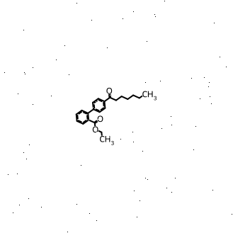 CCCCCCC(=O)c1ccc(-c2ccccc2C(=O)OCC)cc1